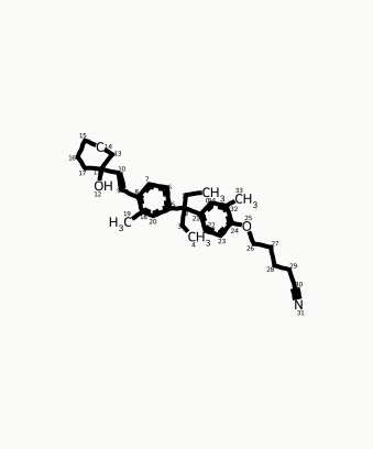 CCC(CC)(c1ccc(/C=C/C2(O)CCCCC2)c(C)c1)c1ccc(OCCCCC#N)c(C)c1